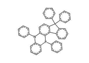 c1ccc(N2c3ccccc3P(c3ccccc3)c3c2ccc2c3-c3ccccc3C2(c2ccccc2)c2ccccc2)cc1